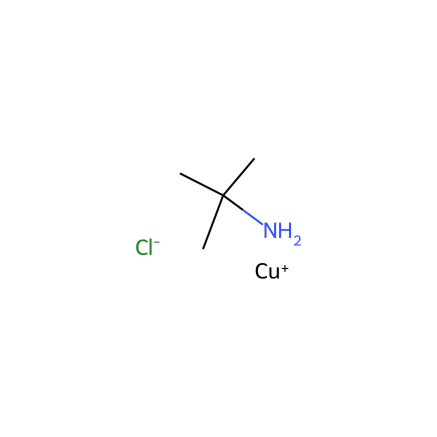 CC(C)(C)N.[Cl-].[Cu+]